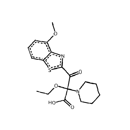 CCOC(C(=O)O)(C(=O)c1nc2c(OC)cccc2s1)N1CCCCC1